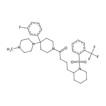 CN1CCN(C2(c3cccc(F)c3)CCN(C(=O)CCCC3CCCCN3S(=O)(=O)c3ccccc3C(F)(F)F)CC2)CC1